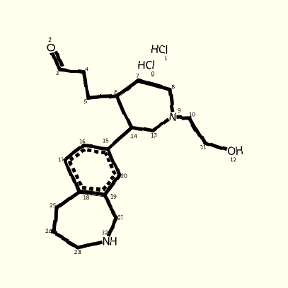 Cl.Cl.O=CCCC1CCN(CCO)CC1c1ccc2c(c1)CNCCC2